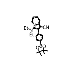 CCN(CC)c1c(-c2ccc(B3OC(C)(C)C(C)(C)O3)cc2)c(C#N)c2ccccn12